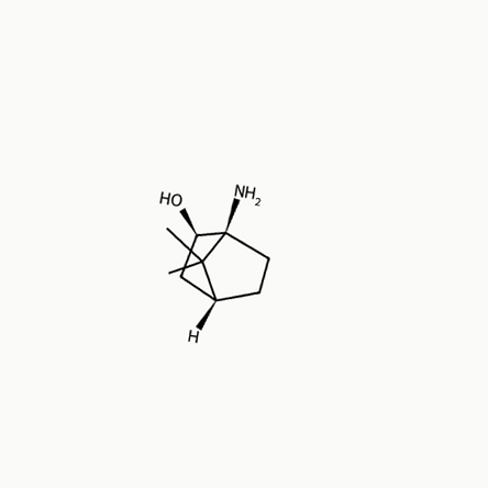 CC1(C)[C@@H]2CC[C@@]1(N)[C@H](O)C2